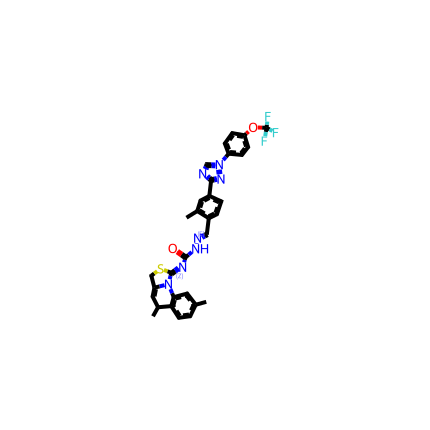 Cc1ccc2c(c1)N1C(=CC2C)CS/C1=N\C(=O)N/N=C/c1ccc(-c2ncn(-c3ccc(OC(F)(F)F)cc3)n2)cc1C